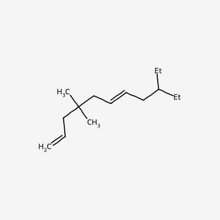 C=CCC(C)(C)CC=CCC(CC)CC